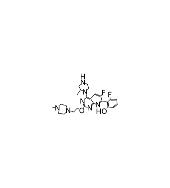 CC1CNCCN1c1nc(OCCN2CCN(C)CC2)nc2nc(-c3c(O)cccc3F)c(F)cc12